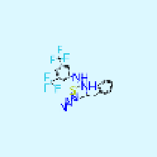 [N-]=[N+]=NC[C@H](Cc1ccccc1)NC(=S)Nc1cc(C(F)(F)F)cc(C(F)(F)F)c1